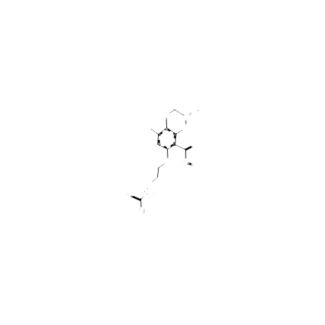 N=C(N)NOCCOc1cc(F)c2c(c1C(=O)N=O)OB(O)CO2